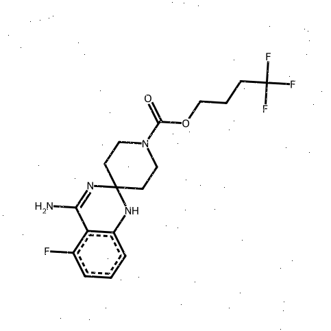 NC1=NC2(CCN(C(=O)OCCCC(F)(F)F)CC2)Nc2cccc(F)c21